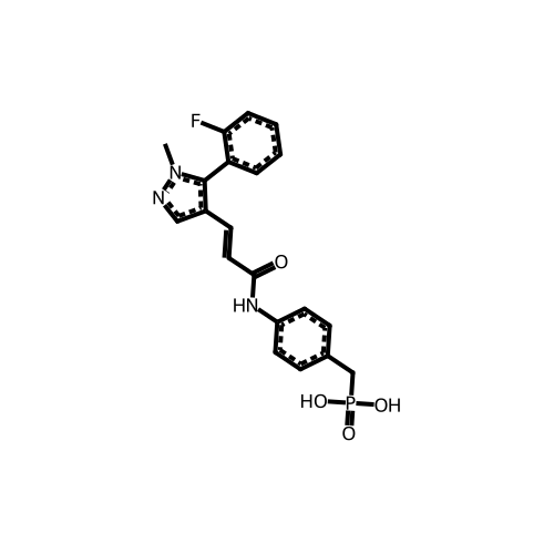 Cn1ncc(C=CC(=O)Nc2ccc(CP(=O)(O)O)cc2)c1-c1ccccc1F